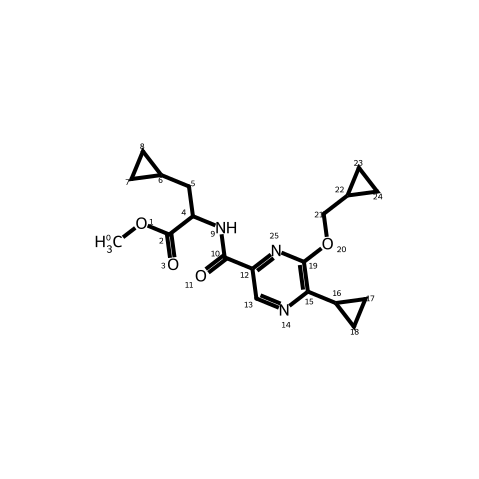 COC(=O)C(CC1CC1)NC(=O)c1cnc(C2CC2)c(OCC2CC2)n1